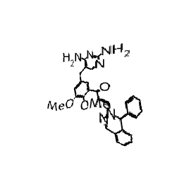 COc1cc(Cc2cnc(N)nc2N)cc(C(=O)/C=C/N2N=Cc3ccccc3C2c2ccccc2)c1OC